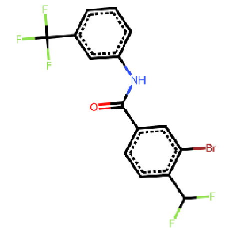 O=C(Nc1cccc(C(F)(F)F)c1)c1ccc(C(F)F)c(Br)c1